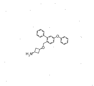 N[C@H]1C[C@@H](OCc2ccc(Oc3ccccc3)cc2-c2ccccc2)C1